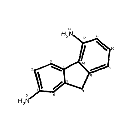 Nc1ccc2c(c1)Cc1cccc(N)c1-2